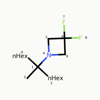 CCCCCCC(C)(CCCCCC)N1CC(F)(F)C1